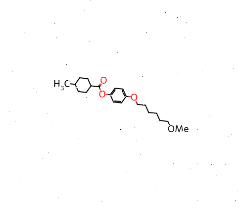 COCCCCCCOc1ccc(OC(=O)C2CCC(C)CC2)cc1